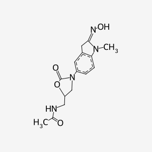 CC(=O)NCC1CN(c2ccc3c(c2)CC(=NO)N3C)C(=O)O1